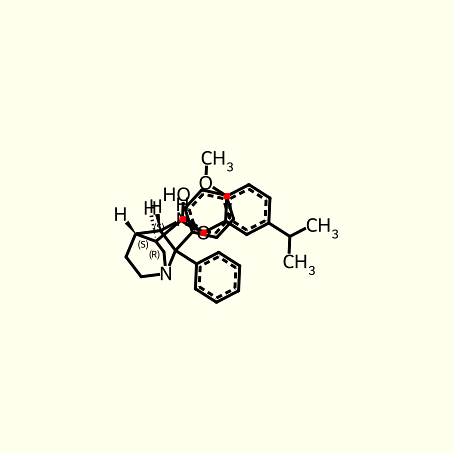 COc1ccc(C(C)C)cc1CN[C@H]1[C@H]2CCN(C[C@@H]2C(=O)O)C1(c1ccccc1)c1ccccc1